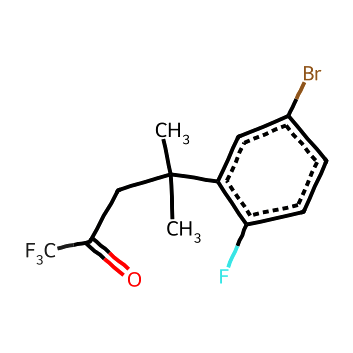 CC(C)(CC(=O)C(F)(F)F)c1cc(Br)ccc1F